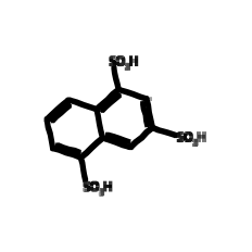 O=S(=O)(O)c1[c]c(S(=O)(=O)O)c2cccc(S(=O)(=O)O)c2c1